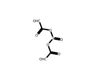 O=CC(=O)OS(=O)OC(=O)C=O